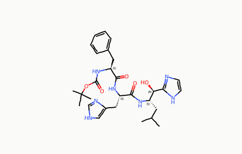 CC(C)C[C@H](NC(=O)[C@H](Cc1c[nH]cn1)NC(=O)[C@H](Cc1ccccc1)NC(=O)OC(C)(C)C)[C@@H](O)c1ncc[nH]1